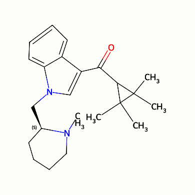 CN1CCCC[C@H]1Cn1cc(C(=O)C2C(C)(C)C2(C)C)c2ccccc21